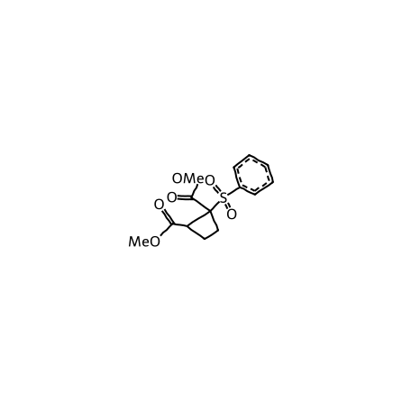 COC(=O)C1CCC1(C(=O)OC)S(=O)(=O)c1ccccc1